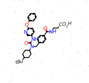 CC(C)(C)C1CCC(N(Cc2ccc(C(=O)NCCC(=O)O)cc2)C(=O)Nc2ccc(Oc3ccccc3)nc2)CC1